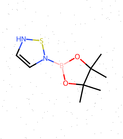 CC1(C)OB(N2C=CNS2)OC1(C)C